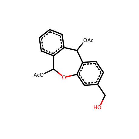 CC(=O)OC1Oc2cc(CO)ccc2C(OC(C)=O)c2ccccc21